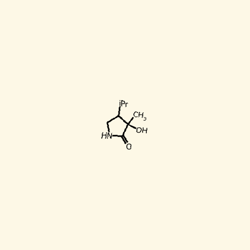 CC(C)C1CNC(=O)C1(C)O